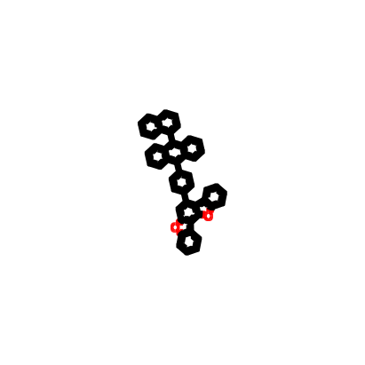 c1ccc2c(-c3c4ccccc4c(-c4ccc(-c5cc6oc7ccccc7c6c6oc7ccccc7c56)cc4)c4ccccc34)cccc2c1